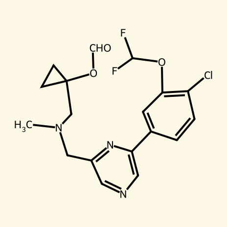 CN(Cc1cncc(-c2ccc(Cl)c(OC(F)F)c2)n1)CC1(OC=O)CC1